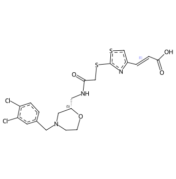 O=C(O)/C=C/c1csc(SCC(=O)NC[C@H]2CN(Cc3ccc(Cl)c(Cl)c3)CCO2)n1